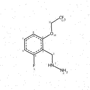 NNCc1c(F)cccc1OCC(F)(F)F